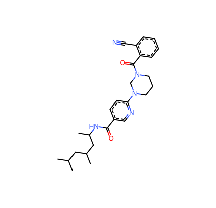 CC(C)CC(C)CC(C)NC(=O)c1ccc(N2CCCN(C(=O)c3ccccc3C#N)C2)nc1